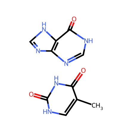 Cc1c[nH]c(=O)[nH]c1=O.O=c1[nH]cnc2nc[nH]c12